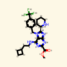 COC(=O)c1nc(NCCC2CCC2)c2c(n1)nc([C@H]1CCCCN1)n2Cc1ccc(C(F)(F)F)cc1